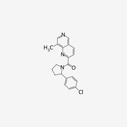 Cc1cncc2ccc(C(=O)N3CCCC3c3ccc(Cl)cc3)nc12